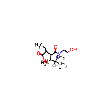 CCC(C(=O)O)C(C(=O)NCCO)C(C)C(C)(C)C